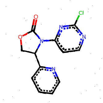 O=C1OCC(c2ccccn2)N1c1ccnc(Cl)n1